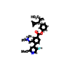 COc1cc(-c2ccc(C(=O)Oc3cccc([C@H](C4CC4)[C@H](C)C(=O)O)c3)cc2CN(C(C)C)C(C)C)c(F)cn1